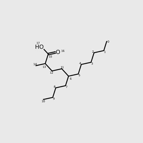 CCCCCCC(CCCC)CCC(C)C(=O)O